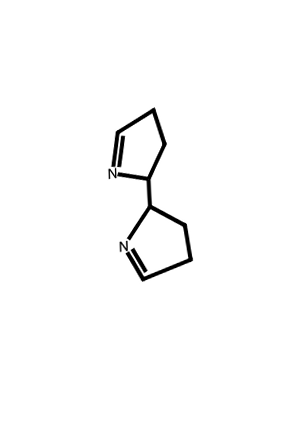 C1=NC(C2CCC=N2)CC1